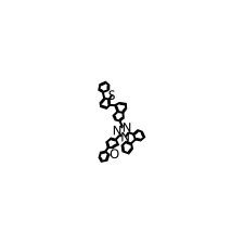 c1ccc(-c2ccccc2-c2nc(-c3ccc4c(-c5cccc6c5sc5ccccc56)cccc4c3)nc(-c3ccc4c(c3)oc3ccccc34)n2)cc1